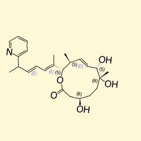 C/C(=C\C=C\C(C)c1ccccn1)[C@H]1OC(=O)C[C@H](O)CC[C@@](C)(O)[C@@H](O)/C=C/[C@@H]1C